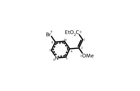 CCOC(=O)/C=C(/OC)c1cncc(Br)c1